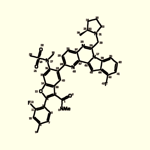 CNC(=O)c1c(-c2ccc(C)cc2F)oc2cc(N(C)S(C)(=O)=O)c(-c3ccc4nc(CN5CCC[C@@H]5C)n5c6cccc(F)c6cc5c4n3)cc12